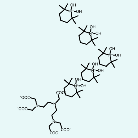 CC1(C)CCCC(C)(C)[N+]1(O)O.CC1(C)CCCC(C)(C)[N+]1(O)O.CC1(C)CCCC(C)(C)[N+]1(O)O.CC1(C)CCCC(C)(C)[N+]1(O)O.CC1(C)CCCC(C)(C)[N+]1(O)O.O=C([O-])CN(CCN(CC(=O)[O-])CC(=O)[O-])CCN(CC(=O)[O-])CC(=O)[O-]